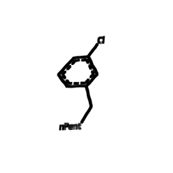 [CH2]CCCCCc1cccc(Cl)c1